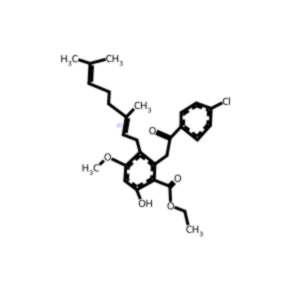 CCOC(=O)c1c(O)cc(OC)c(C/C=C(\C)CCC=C(C)C)c1CC(=O)c1ccc(Cl)cc1